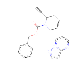 C#CC1CC=CCN1C(=O)OCc1ccccc1.c1cnc2ccnn2c1